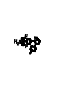 Cc1ccc(-c2cccnc2-c2cc(F)c(S(N)(=O)=O)c(F)c2)cc1